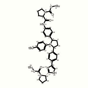 CC(C)(C)OC(=O)N1CCCC1C(=O)Nc1ccc(C2CCC(c3ccc(-c4c[nH]c([C@@H]5CCCN5C(=O)OC(C)(C)C)n4)cc3)N2c2ccc(C(C)(C)C)cc2)cc1